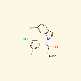 CNC[C@@H](O)[C@H](c1cccc(F)c1)n1ccc2ccc(Br)cc21.Cl